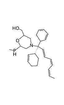 C\C=C/C=C\C=C\C(C1C=CC=CC1)([C@H]1C=CCCC1)N1CC(CO)OC(PC)C1